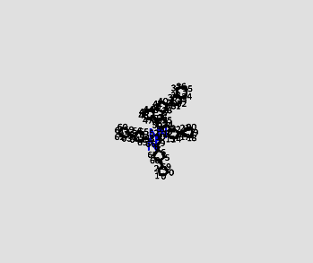 c1ccc(-c2ccc(-c3cc(-n4c5ccc(-c6ccccc6)cc5c5cc6c7cc(-c8ccc9ccccc9c8)ccc7c7ccccc7c6cc54)nc(-c4ccc(-c5ccccc5)cc4)n3)cc2)cc1